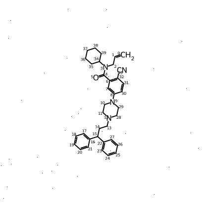 C=CCN(C(=O)c1cc(N2CCN(CCC(c3ccccc3)c3ccccc3)CC2)ccc1C#N)C1CCCCC1